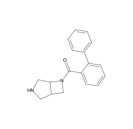 O=C(c1ccccc1-c1ccccc1)N1CC2CNCC21